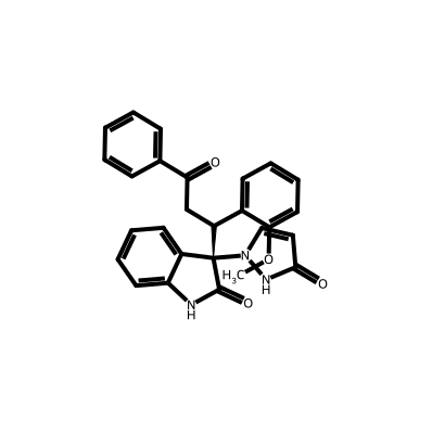 COc1ccccc1C(CC(=O)c1ccccc1)[C@@]1(n2ccc(=O)[nH]2)C(=O)Nc2ccccc21